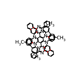 Cc1ccc2c(c1)c1cc(C)ccc1n2-c1c(-c2nc(-c3ccccc3)nc(-c3ccccc3)n2)c(N(c2ccccc2)c2ccccc2)c(-n2c3ccc(C)cc3c3cc(C)ccc32)c(-c2nc(-c3ccccc3)nc(-c3ccccc3)n2)c1N(c1ccccc1)c1ccccc1